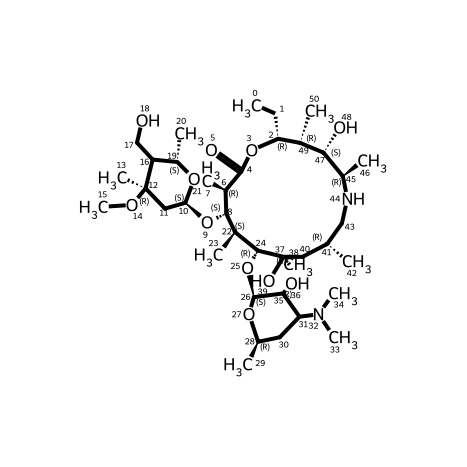 CC[C@H]1OC(=O)[C@H](C)[C@@H](O[C@H]2C[C@@](C)(OC)C(CO)[C@H](C)O2)[C@H](C)[C@@H](O[C@@H]2O[C@H](C)CC(N(C)C)[C@H]2O)[C@](C)(O)C[C@@H](C)CN[C@H](C)[C@@H](O)[C@H]1C